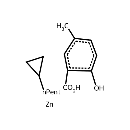 CCCCCC1CC1.Cc1ccc(O)c(C(=O)O)c1.[Zn]